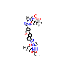 COC(=O)N[C@H](C(=O)N1CCC[C@H]1c1nc2c(ccc3c4c(ccc32)-c2ccc(-c3cnc([C@H]5CCCN5C(=O)[C@H](C(C)C)N(C)C(=O)O)[nH]3)cc2CO4)[nH]1)C(C)C